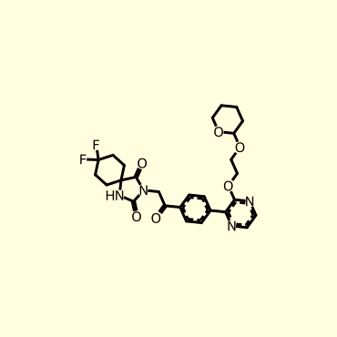 O=C(CN1C(=O)NC2(CCC(F)(F)CC2)C1=O)c1ccc(-c2nccnc2OCCOC2CCCCO2)cc1